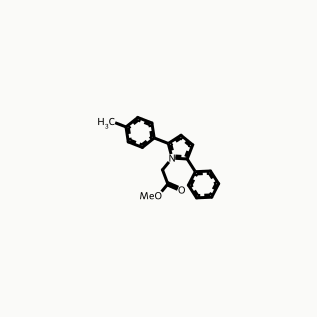 COC(=O)Cn1c(-c2ccccc2)ccc1-c1ccc(C)cc1